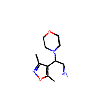 Cc1noc(C)c1C(CN)N1CCOCC1